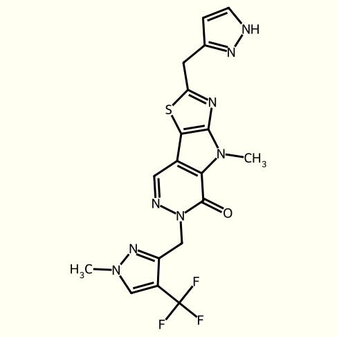 Cn1cc(C(F)(F)F)c(Cn2ncc3c4sc(Cc5cc[nH]n5)nc4n(C)c3c2=O)n1